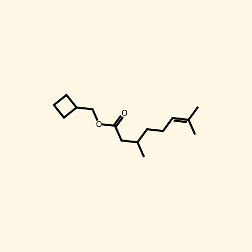 CC(C)=CCCC(C)CC(=O)OCC1CCC1